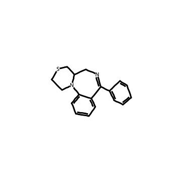 c1ccc(C2=NCC3CSCCN3c3ccccc32)cc1